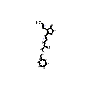 N#C/C=C/C1=C(/C=C/NC(=O)COCc2ccccc2)CCC1=O